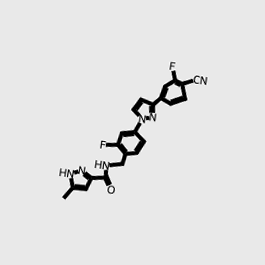 Cc1cc(C(=O)NCc2ccc(-n3ccc(-c4ccc(C#N)c(F)c4)n3)cc2F)n[nH]1